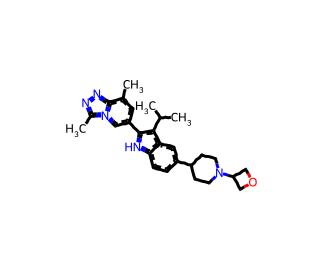 Cc1cc(-c2[nH]c3ccc(C4CCN(C5COC5)CC4)cc3c2C(C)C)cn2c(C)nnc12